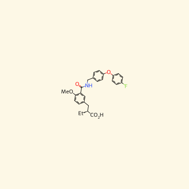 CC[C@@H](Cc1ccc(OC)c(C(=O)NCc2ccc(Oc3ccc(F)cc3)cc2)c1)C(=O)O